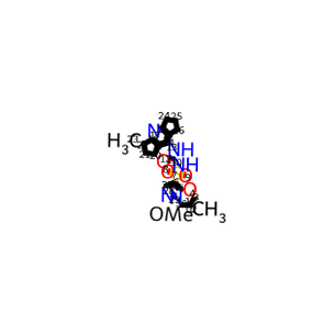 COC1(C)COc2c(S(=O)(=O)NC(=O)Nc3c4c(nc5c3CCC5C)CCC4)cnn2C1